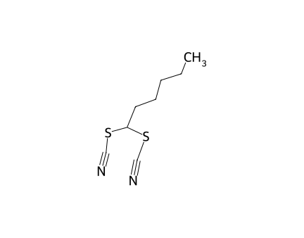 CCCCCC(SC#N)SC#N